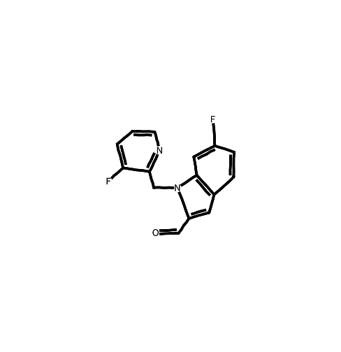 O=Cc1cc2ccc(F)cc2n1Cc1ncccc1F